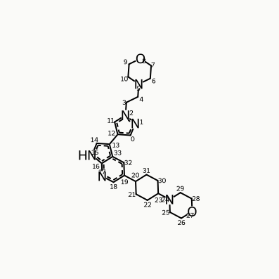 c1nn(CCN2CCOCC2)cc1-c1c[nH]c2ncc(C3CCC(N4CCOCC4)CC3)cc12